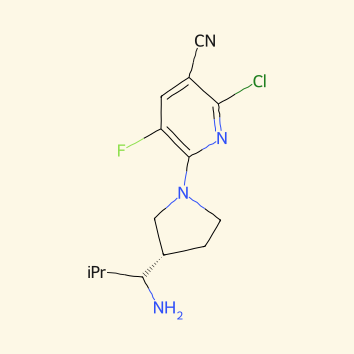 CC(C)C(N)[C@H]1CCN(c2nc(Cl)c(C#N)cc2F)C1